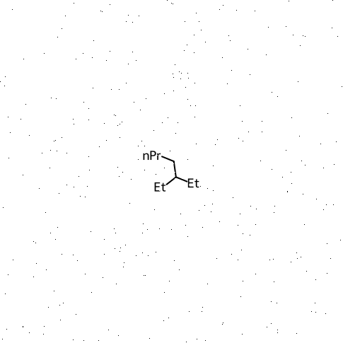 [CH2]CCCC(C[CH2])CC